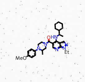 CCn1ncc2c(NC(C)C3CCCCC3)c(C(=O)N3CCN(c4ccc(OC)cc4)C(C)C3)cnc21